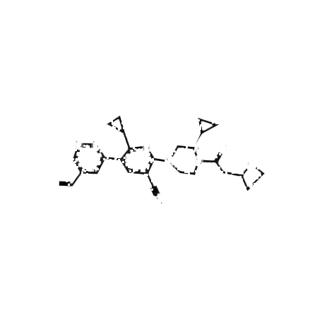 C=Cc1cnnc(-c2cc(C#N)c(N3CCN(C(=O)CC4CCO4)[C@H](C4CC4)C3)nc2C2CC2)c1